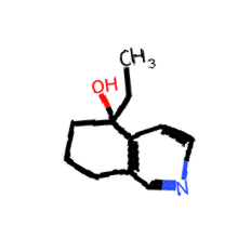 CCC1(O)CCCc2cnccc21